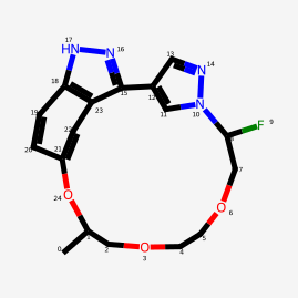 CC1COCCOCC(F)n2cc(cn2)-c2n[nH]c3ccc(cc23)O1